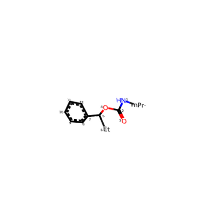 CC[CH]NC(=O)OC(CC)c1ccccc1